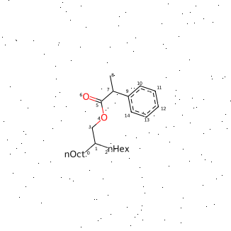 CCCCCCCCC(CCCCCC)COC(=O)C(C)c1ccccc1